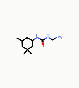 CC1CC(NC(=O)NCN)CC(C)(C)C1